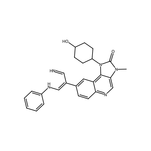 Cn1c(=O)n(C2CCC(O)CC2)c2c3cc(/C(C=N)=C/Nc4ccccc4)ccc3ncc21